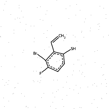 C=Cc1c(S)ccc(F)c1Br